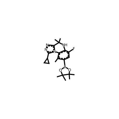 Cc1c(B2OC(C)(C)C(C)(C)O2)cc(F)c2c1-n1c(C3CC3)nnc1C(C)(C)N2